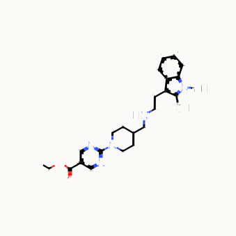 CCOC(=O)c1cnc(N2CCC(CNCCc3c(C)n(C)c4ccccc34)CC2)nc1